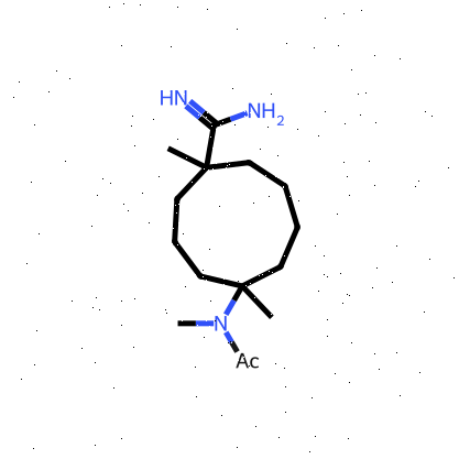 CC(=O)N(C)C1(C)CCCCC(C)(C(=N)N)CCC1